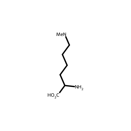 CNCCCCC(N)C(=O)O